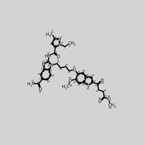 CCn1nc(C)cc1C(=O)Nc1nc2cc(C(N)=O)ccc2n1CCCCOc1cc2cc(C(=O)CCC(=O)OC)sc2cc1OC